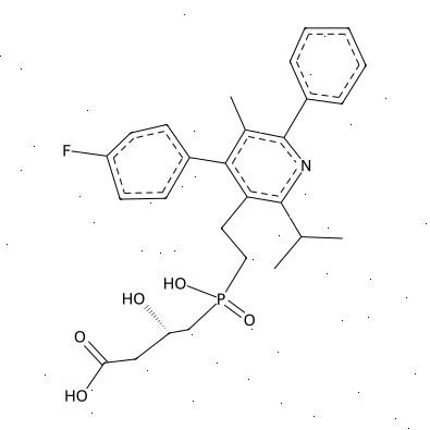 Cc1c(-c2ccccc2)nc(C(C)C)c(CCP(=O)(O)C[C@@H](O)CC(=O)O)c1-c1ccc(F)cc1